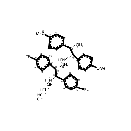 COc1ccc([C@H](N)[C@@H](N)c2ccc(OC)cc2)cc1.Cl.Cl.Cl.Cl.N[C@@H](c1ccc(F)cc1)[C@@H](N)c1ccc(F)cc1